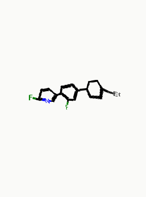 CCC1CCC(c2ccc(-c3ccc(F)nc3)c(F)c2)CC1